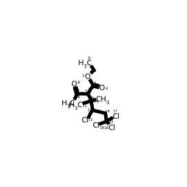 CCOC(=O)C(C(C)=O)C(C)(C)C(Cl)CC(Cl)(Cl)Cl